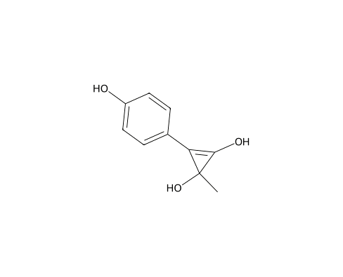 CC1(O)C(O)=C1c1ccc(O)cc1